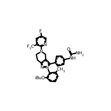 Cc1cccc(OCC(C)C)c1-n1nc2c(c1-c1ccc(NC(N)=O)cc1)CN(c1ncc(F)cc1C(F)(F)F)CC2